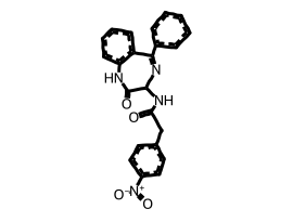 O=C(Cc1ccc([N+](=O)[O-])cc1)NC1N=C(c2ccccc2)c2ccccc2NC1=O